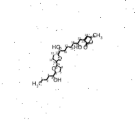 CCCC[C@H](O)[C@H]1CC[C@H]([C@H]2CC[C@H]([C@H](O)CCCC[C@@H](O)CC3=C[C@H](C)OC3=O)O2)O1